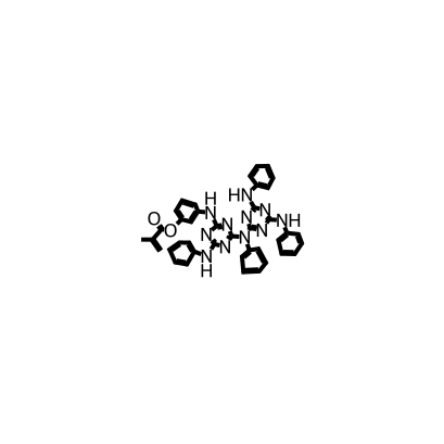 C=C(C)C(=O)Oc1cccc(Nc2nc(Nc3ccccc3)nc(N(c3ccccc3)c3nc(Nc4ccccc4)nc(Nc4ccccc4)n3)n2)c1